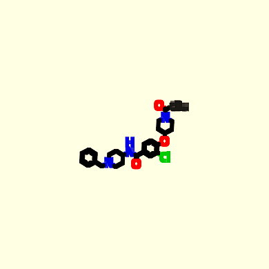 CC(C)(C)C(=O)N1CCC(Oc2ccc(C(=O)NC3CCN(Cc4ccccc4)CC3)cc2Cl)CC1